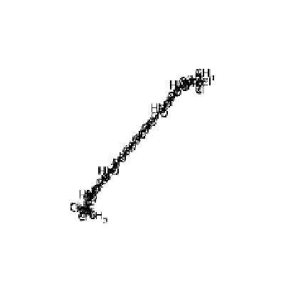 CN1Cc2c(Cl)cc(Cl)cc2C(c2ccc(S(=O)(=O)NCCOCCOCCOCCNC(=O)CCOCCOCCOCCOCCOCCOCCOCCOCCOCCC(=O)NCCOCCOCCOCCNS(=O)(=O)c3ccc(C4CN(C)Cc5c(Cl)cc(Cl)cc54)cc3)cc2)C1